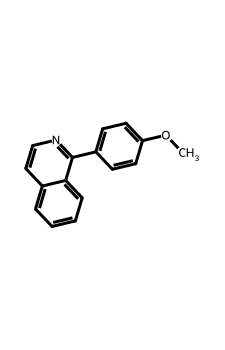 COc1ccc(-c2nccc3ccccc23)cc1